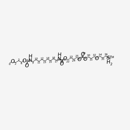 COCCCOC(=O)NCCCCCCCCCNC(=O)OCCCCOC(=O)OCCCOCCC[SiH2]C